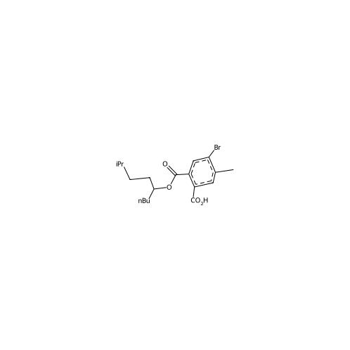 CCCCC(CCC(C)C)OC(=O)c1cc(Br)c(C)cc1C(=O)O